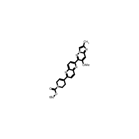 COc1cc2nc(C)cn2nc1-c1ccc2nc(C3=CCN(C(=O)OC(C)(C)C)CC3)ccc2n1